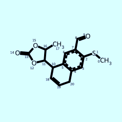 CSc1cc2c(cc1C=O)C(C1OC(=O)OC1C)C=CC2